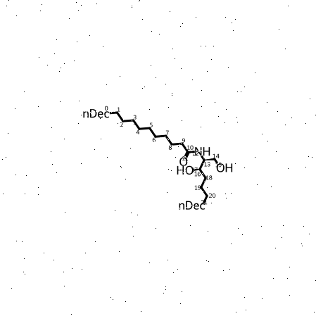 CCCCCCCCCCCCCCCCCCCC(=O)N[C@@H](CO)[C@H](O)CCCCCCCCCCCCC